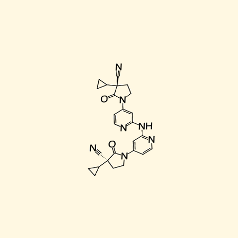 N#C[C@@]1(C2CC2)CCN(c2ccnc(Nc3cc(N4CC[C@@](C#N)(C5CC5)C4=O)ccn3)c2)C1=O